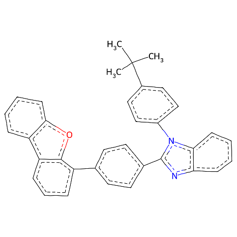 CC(C)(C)c1ccc(-n2c(-c3ccc(-c4cccc5c4oc4ccccc45)cc3)nc3ccccc32)cc1